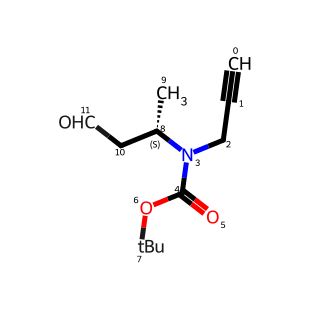 C#CCN(C(=O)OC(C)(C)C)[C@@H](C)CC=O